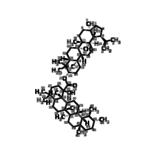 C=C(C)[C@@H]1CC[C@]2(C)CC[C@]3(C)[C@H](CC[C@@H]4[C@@]5(C)CC[C@H](OC(=O)C6(O)CCC(C)(C)[C@@H]7CC[C@]8(C)[C@H](CC[C@@H]9[C@@H]%10[C@@H](C)[C@H](C)CC[C@]%10(C)CC[C@]98C)[C@]76C)C(C)(C)[C@@H]5CC[C@]43C)[C@@H]12